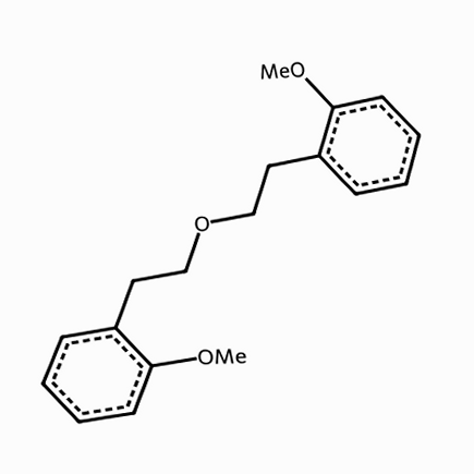 COc1ccccc1CCOCCc1ccccc1OC